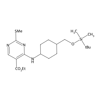 CCOC(=O)c1cnc(SC)nc1NC1CCC(CO[Si](C)(C)C(C)(C)C)CC1